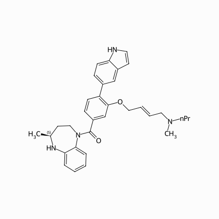 CCCN(C)CC=CCOc1cc(C(=O)N2CC[C@H](C)Nc3ccccc32)ccc1-c1ccc2[nH]ccc2c1